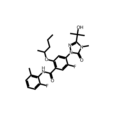 CCCC(C)Oc1cc(-n2nc(C(C)(C)O)n(C)c2=O)c(F)cc1C(=O)Nc1c(C)cccc1F